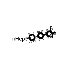 CCCCCCC[C@H]1CC[C@H](c2ccc(-c3cnc(F)c(F)c3)cc2)CC1